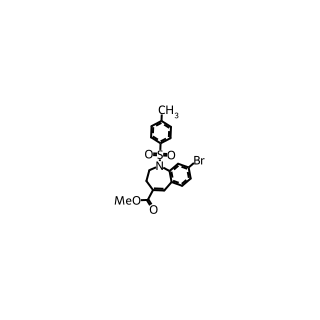 COC(=O)C1=Cc2ccc(Br)cc2N(S(=O)(=O)c2ccc(C)cc2)CC1